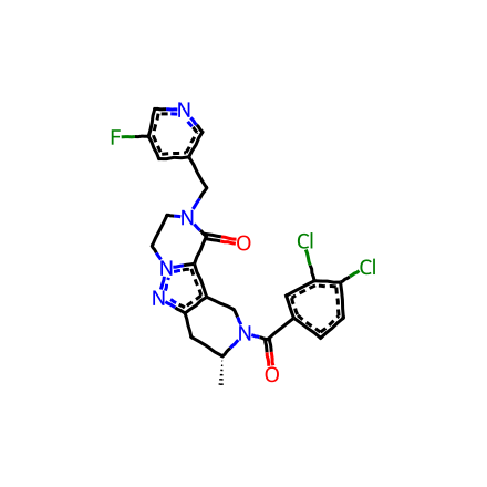 C[C@@H]1Cc2nn3c(c2CN1C(=O)c1ccc(Cl)c(Cl)c1)C(=O)N(Cc1cncc(F)c1)CC3